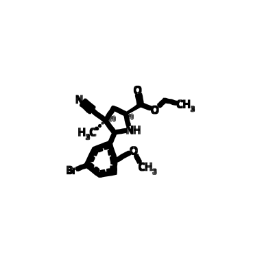 CCOC(=O)[C@@H]1C[C@](C)(C#N)C(c2cc(Br)ccc2OC)N1